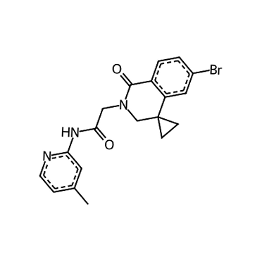 Cc1ccnc(NC(=O)CN2CC3(CC3)c3cc(Br)ccc3C2=O)c1